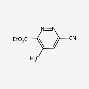 CCOC(=O)c1nnc(C#N)cc1C